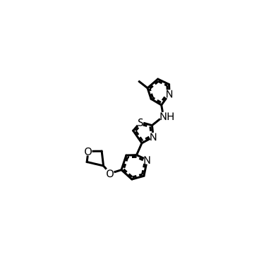 Cc1ccnc(Nc2nc(-c3cc(OC4COC4)ccn3)cs2)c1